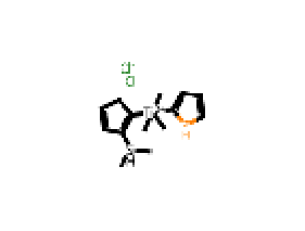 C[SiH](C)C1=[C]([Ti+2]([CH3])([CH3])([CH3])[c]2ccc[pH]2)CC=C1.[Cl-].[Cl-]